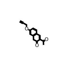 C#CCOc1ccc2c(c1)CC(=O)C(C(C)=O)=C2